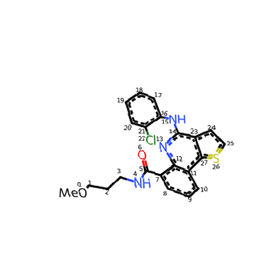 COCCCNC(=O)c1cccc2c1nc(Nc1ccccc1Cl)c1ccsc12